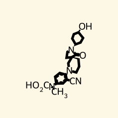 CN(C(=O)O)c1ccc(N2CCC[C@]3(CCN([C@H]4CC[C@H](O)CC4)C3=O)C2)c(C#N)c1